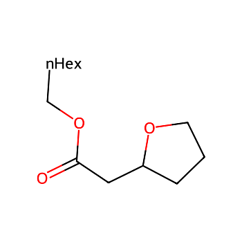 CCCCCCCOC(=O)CC1CCCO1